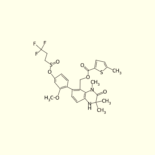 COc1cc(OS(=O)CCC(F)(F)F)ccc1-c1ccc2c(c1COC(=O)c1ccc(C)s1)N(C)C(=O)C(C)(C)N2